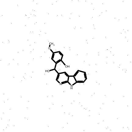 COc1ccc(O)c(C(O)c2cnc3[nH]c4ccccc4c3c2)c1